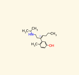 CCC/C=C(/CCNC(C)C)c1cc(O)ccc1C